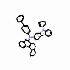 c1ccc(-c2ccc(N(c3ccc4c5ccccc5n(-c5ccccc5)c4c3)c3cc4ccccc4c4c3CCc3ccccc3-4)cc2)cc1